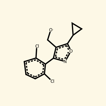 [O]Cc1c(-c2c(Cl)cccc2Cl)noc1C1CC1